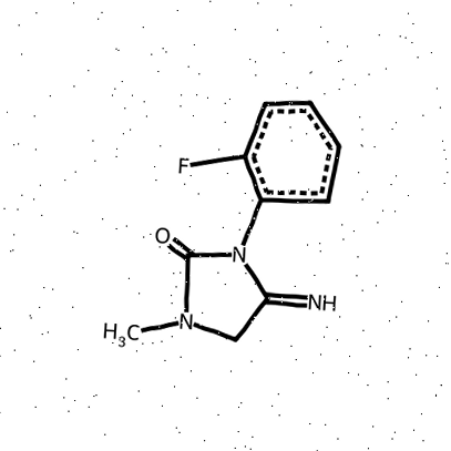 CN1CC(=N)N(c2ccccc2F)C1=O